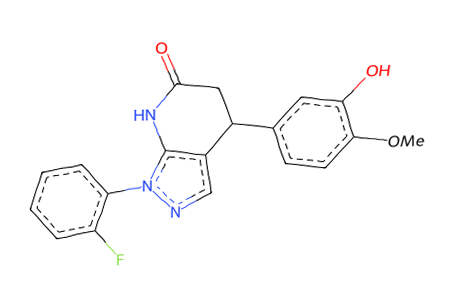 COc1ccc(C2CC(=O)Nc3c2cnn3-c2ccccc2F)cc1O